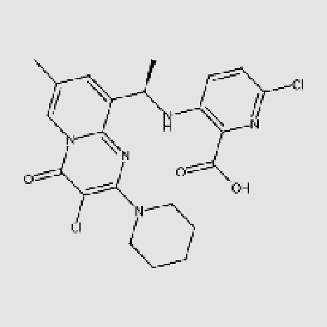 Cc1cc([C@@H](C)Nc2ccc(Cl)nc2C(=O)O)c2nc(N3CCCCC3)c(Cl)c(=O)n2c1